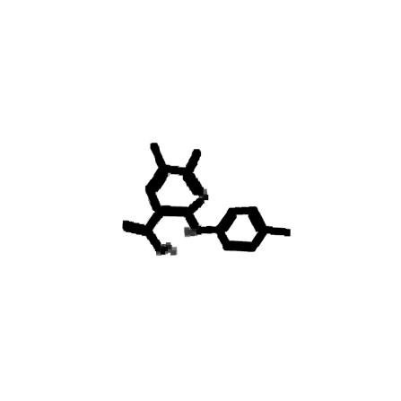 C=C(N)c1cc(C)c(C)nc1Nc1ccc(C)cc1